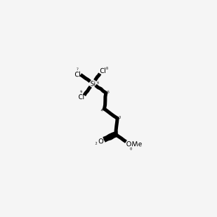 COC(=O)CCC[Si](Cl)(Cl)Cl